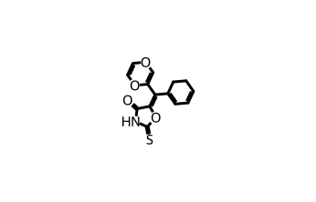 O=C1NC(=S)OC1=C(C1=CC=CCC1)C1=COC=CO1